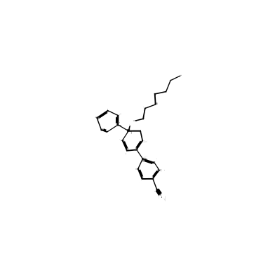 CCCCCCCOC1(c2ccccc2)C=CC(c2ccc(C#N)cc2)=CC1